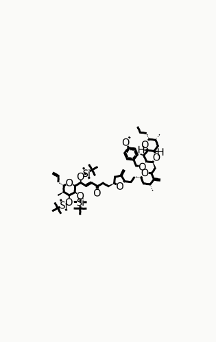 C=CC[C@@H]1O[C@@H]([C@H](/C=C/C(=O)CC[C@H]2CC(=C)C(CC[C@H]3C[C@@H](C)C(=C)C(C[C@@H]4O[C@H]5C[C@@H](C)[C@@H](CCC)O[C@H]5[C@H](C)[C@H]4OCc4ccc(OC)cc4)O3)O2)O[Si](C)(C)C(C)(C)C)[C@@H](O[Si](C)(C)C(C)(C)C)[C@@H](O[Si](C)(C)C(C)(C)C)[C@H]1C